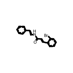 O=C(C=Cc1ccccc1Br)NC=Cc1ccccc1